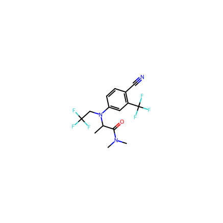 CC(C(=O)N(C)C)N(CC(F)(F)F)c1ccc(C#N)c(C(F)(F)F)c1